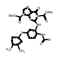 CCC(=O)Nc1ccc(Sc2ccc(C)c(C)c2)cc1Nc1nc2c(ncn2C(=O)OC)c(=O)n1C(=O)OC